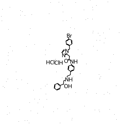 Cl.Cl.O=C(Cc1nccn1Cc1ccc(Br)cc1)Nc1ccc(CCNC[C@H](O)c2ccccc2)cc1